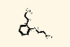 NCCNc1ccccc1CCN